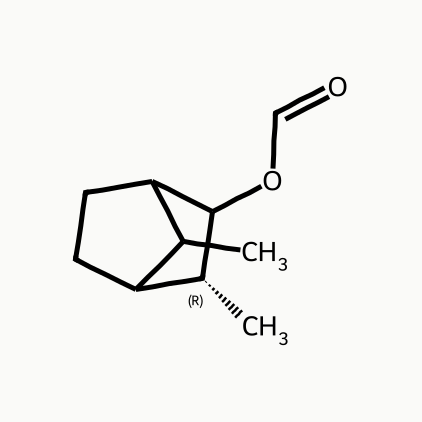 CC1C2CCC1[C@@H](C)C2OC=O